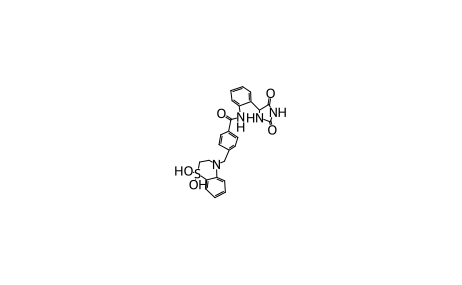 O=C1NC(=O)C(c2ccccc2NC(=O)c2ccc(CN3CCS(O)(O)c4ccccc43)cc2)N1